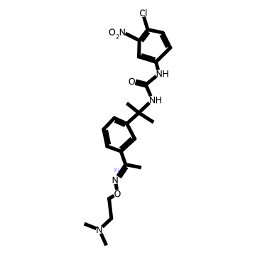 C/C(=N\OCCN(C)C)c1cccc(C(C)(C)NC(=O)Nc2ccc(Cl)c([N+](=O)[O-])c2)c1